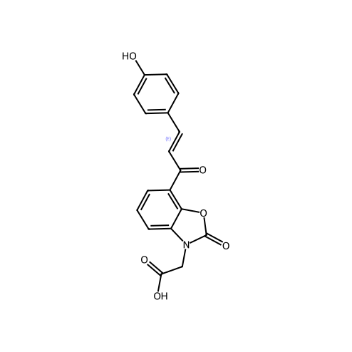 O=C(O)Cn1c(=O)oc2c(C(=O)/C=C/c3ccc(O)cc3)cccc21